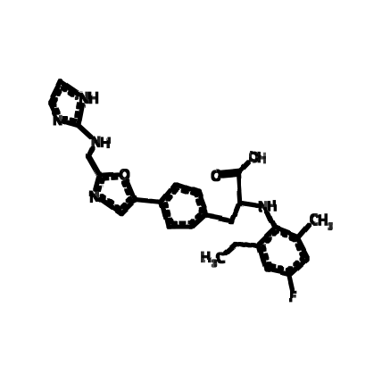 CCc1cc(F)cc(C)c1NC(Cc1ccc(-c2cnc(CNc3ncc[nH]3)o2)cc1)C(=O)O